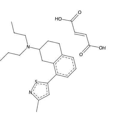 CCCN(CCC)C1CCc2cccc(-c3cc(C)ns3)c2C1.O=C(O)C=CC(=O)O